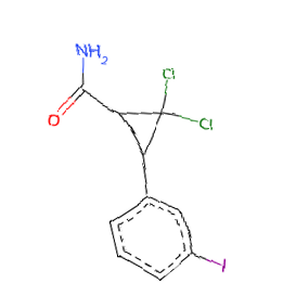 NC(=O)C1C(c2cccc(I)c2)C1(Cl)Cl